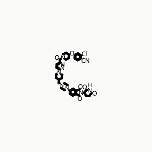 N#Cc1ccc(OC2CCN(C(=O)c3ccc(N4CCC(CN5CCN(c6ccc7c(c6)C(=O)N(C6CCC(=O)NC6=O)C7=O)CC5)CC4)nn3)CC2)cc1Cl